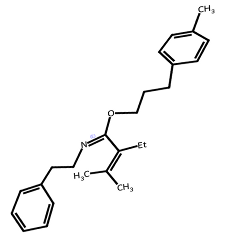 CCC(=C(C)C)/C(=N\CCc1ccccc1)OCCCc1ccc(C)cc1